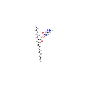 CCC=CCC=CCCCCCC(CCCCCCC)C(=O)COC(=O)NCCNC